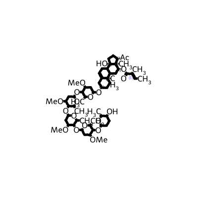 C/C=C(\C)C(=O)O[C@@H]1CC2C(CC=C3C[C@@H](OC4CC(OC)C(OC5CC(OC)C(OC6CC(OC)C(OC7CC(OC)C(OC8CCC(O)C(C)O8)C(C)O7)C(C)O6)C(C)O5)C(C)O4)CC[C@@]32C)[C@@]2(O)CC[C@H](C(C)=O)[C@@]12C